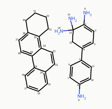 NC1=CC=C(c2ccc(N)cc2)CC1(N)N.c1ccc2c(c1)ccc1c3c(ccc12)CCCC3